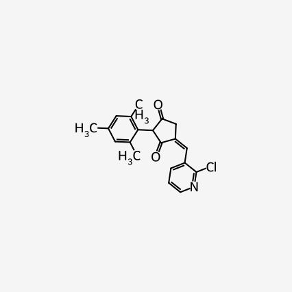 Cc1cc(C)c(C2C(=O)CC(=Cc3cccnc3Cl)C2=O)c(C)c1